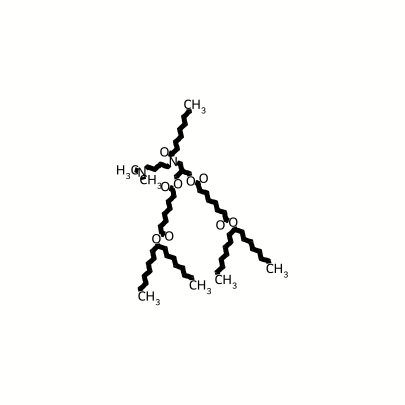 CCCCCCCCC(=O)N(CCCCN(C)C)CC(COC(=O)CCCCCCC(=O)OC(CCCCCCCC)CCCCCCCC)COC(=O)CCCCCCC(=O)OC(CCCCCCCC)CCCCCCCC